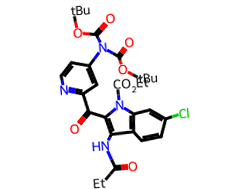 CCOC(=O)n1c(C(=O)c2cc(N(C(=O)OC(C)(C)C)C(=O)OC(C)(C)C)ccn2)c(NC(=O)CC)c2ccc(Cl)cc21